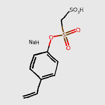 C=Cc1ccc(OS(=O)(=O)CS(=O)(=O)O)cc1.[NaH]